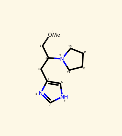 COCC(Cc1c[nH]cn1)N1CCCC1